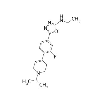 CCNc1nnc(-c2ccc(C3=CCN(C(C)C)CC3)c(F)c2)o1